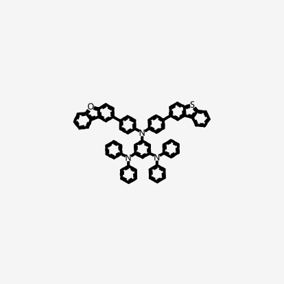 c1ccc(N(c2ccccc2)c2cc(N(c3ccccc3)c3ccccc3)cc(N(c3ccc(-c4ccc5oc6ccccc6c5c4)cc3)c3ccc(-c4ccc5sc6ccccc6c5c4)cc3)c2)cc1